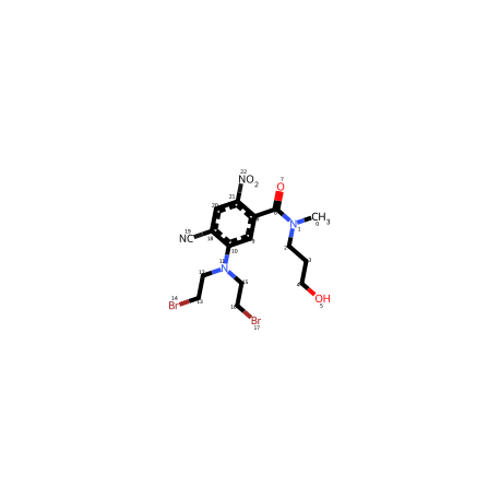 CN(CCCO)C(=O)c1cc(N(CCBr)CCBr)c(C#N)cc1[N+](=O)[O-]